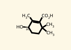 CC1=C(C(=O)O)C(C)(C)CC[C@H]1O